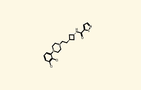 O=C(N[C@H]1C[C@H](CCN2CCN(c3cccc(Cl)c3Cl)CC2)C1)c1ccns1